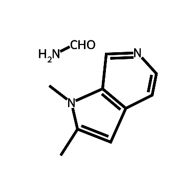 Cc1cc2ccncc2n1C.NC=O